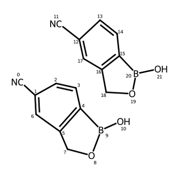 N#Cc1ccc2c(c1)COB2O.N#Cc1ccc2c(c1)COB2O